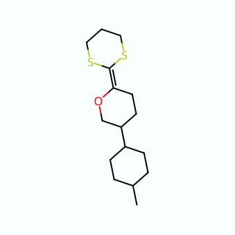 CC1CCC(C2CCC(=C3SCCCS3)OC2)CC1